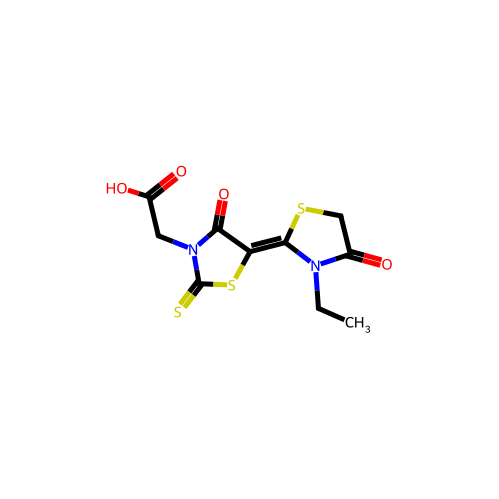 CCN1C(=O)CS/C1=C1/SC(=S)N(CC(=O)O)C1=O